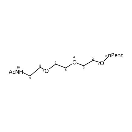 CCCCCOCCOCCOCCNC(C)=O